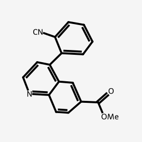 [C-]#[N+]c1ccccc1-c1ccnc2ccc(C(=O)OC)cc12